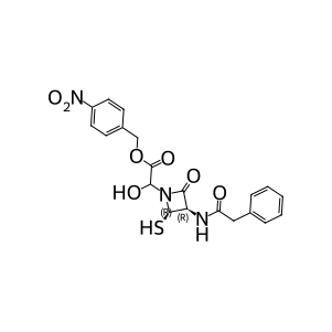 O=C(Cc1ccccc1)N[C@@H]1C(=O)N(C(O)C(=O)OCc2ccc([N+](=O)[O-])cc2)[C@@H]1S